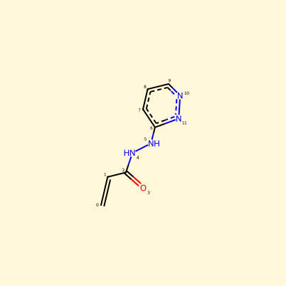 C=CC(=O)NNc1cccnn1